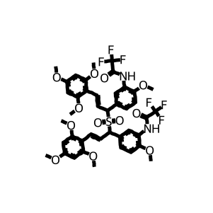 COc1cc(OC)c(C=CC(c2ccc(OC)c(NC(=O)C(F)(F)F)c2)S(=O)(=O)C(C=Cc2c(OC)cc(OC)cc2OC)c2ccc(OC)c(NC(=O)C(F)(F)F)c2)c(OC)c1